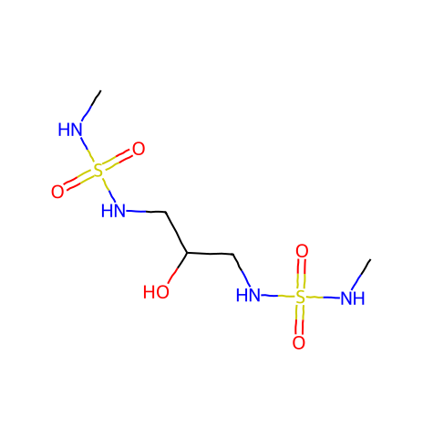 CNS(=O)(=O)NCC(O)CNS(=O)(=O)NC